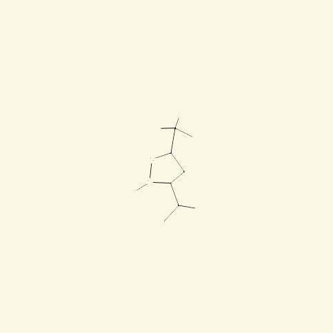 CC(C)C1CC(C(F)(F)F)NN1C